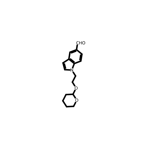 O=Cc1ccc2c(ccn2CCOC2CCCCO2)c1